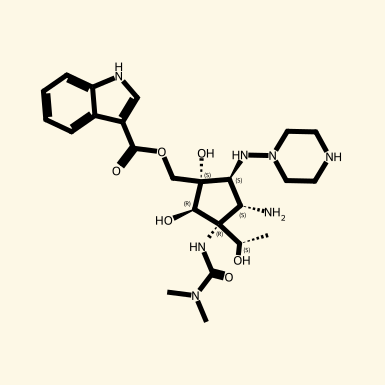 C[C@H](O)[C@]1(NC(=O)N(C)C)[C@@H](N)[C@H](NN2CCNCC2)[C@](O)(COC(=O)c2c[nH]c3ccccc23)[C@@H]1O